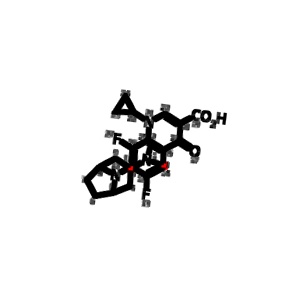 CN(C)C1CC2CCC(C1)N2c1c(F)cc2c(=O)c(C(=O)O)cn(C3CC3)c2c1F